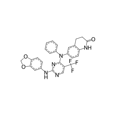 O=C1CCc2cc(N(c3ccccc3)c3nc(Nc4ccc5c(c4)OCO5)ncc3C(F)(F)F)ccc2N1